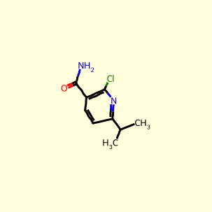 CC(C)c1ccc(C(N)=O)c(Cl)n1